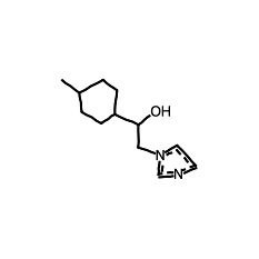 CC1CCC(C(O)Cn2ccnc2)CC1